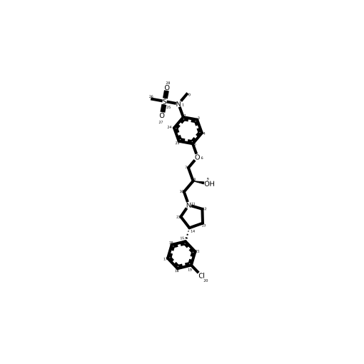 CN(c1ccc(OC[C@@H](O)CN2CC[C@H](c3cccc(Cl)c3)C2)cc1)S(C)(=O)=O